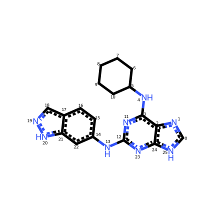 c1nc2c(NC3CCCCC3)nc(Nc3ccc4cn[nH]c4c3)nc2[nH]1